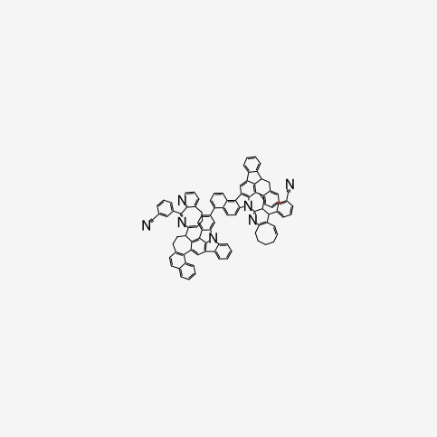 CCC1C(n2c3ccc4c(-c5ccc6c7c8c(cc9c%10ccccc%10n(c6c5)c97)-c5c(ccc6ccccc56)CCC8C5=C/CCc6cccnc6/C(c6cccc(C#N)c6)=N\5)cccc4c3c3cc4c5c(c32)-c2ccccc2CC5c2ccccc2-4)=NC2=C(/C=C\CCCC2)C1c1cccc(C#N)c1